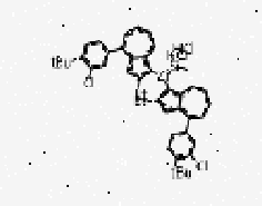 CCc1cc2c(-c3ccc(C(C)(C)C)c(Cl)c3)ccccc-2[c]1[Zr]([c]1c(CC)cc2c(-c3ccc(C(C)(C)C)c(Cl)c3)ccccc1-2)=[Si](C)C.Cl.Cl